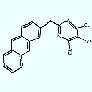 Clc1nc(Cc2ccc3cc4ccccc4cc3c2)nc(Cl)c1Cl